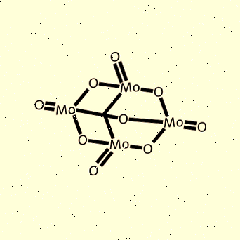 [O]=[Mo]12[CH2][Mo]3(=[O])[O][Mo](=[O])([O]1)[O][Mo](=[O])([O]2)[O]3